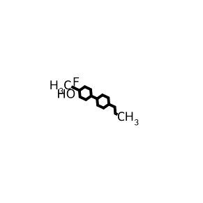 CCCC1CCC(C2CCC(C(C)(O)F)CC2)CC1